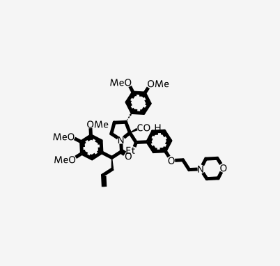 C=CC[C@H](C(=O)N1CC[C@H](c2ccc(OC)c(OC)c2)[C@]1(C(=O)O)C(CC)c1cccc(OCCN2CCOCC2)c1)c1cc(OC)c(OC)c(OC)c1